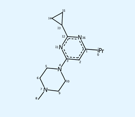 CC(C)c1cc(N2CCN(C)CC2)nc(C2CC2)n1